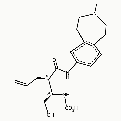 C=CC[C@@H](C(=O)Nc1ccc2c(c1)CCN(C)CC2)[C@H](CO)NC(=O)O